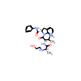 CC(C)[C@H](NC(=O)[C@H](C)NCCO)C(=O)N1c2ncccc2C[C@H]1C(=O)Nc1ccccc1